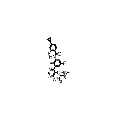 CN[C@@H](C)COc1c(N)ncnc1-c1cc(F)cc(NC(=O)c2ccc(C3CC3)cc2F)c1C